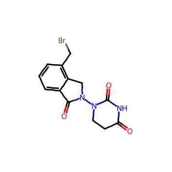 O=C1CCN(N2Cc3c(CBr)cccc3C2=O)C(=O)N1